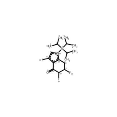 CC(C)[Si](C(C)C)(C(C)C)n1cc(I)c2c1CC(F)C(F)C2=O